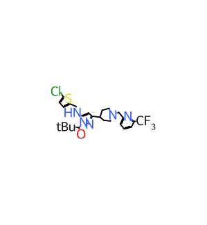 CC(C)(C)C(=O)n1nc(C2CCN(Cc3cccc(C(F)(F)F)n3)CC2)cc1NCc1ccc(Cl)s1